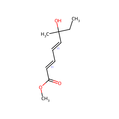 CCC(C)(O)/C=C/C=C/C(=O)OC